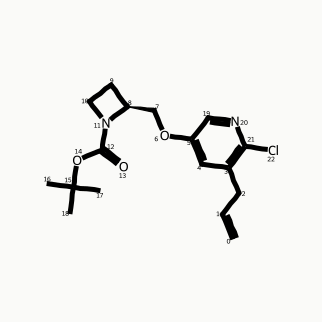 C=CCc1cc(OC[C@@H]2CCN2C(=O)OC(C)(C)C)cnc1Cl